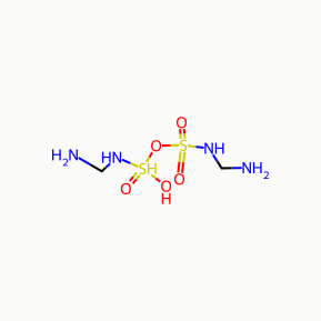 NCNS(=O)(=O)O[SH](=O)(O)NCN